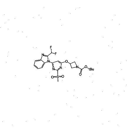 CC(C)(C)OC(=O)N1CC(Oc2cc(-n3c(C(F)F)nc4ccccc43)nc(S(C)(=O)=O)n2)C1